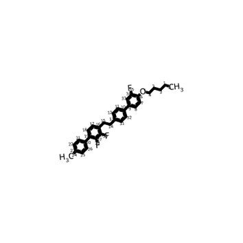 CCCCCOc1ccc(-c2ccc(CCc3ccc(-c4ccc(C)cc4)c(F)c3F)cc2)cc1F